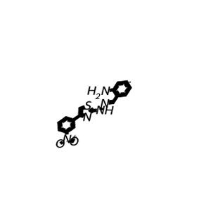 Nc1c[c]ccc1C=NNc1nc(-c2cccc([N+](=O)[O-])c2)cs1